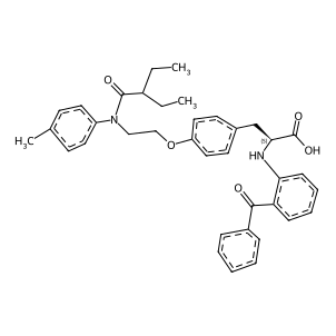 CCC(CC)C(=O)N(CCOc1ccc(C[C@H](Nc2ccccc2C(=O)c2ccccc2)C(=O)O)cc1)c1ccc(C)cc1